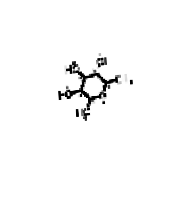 CC1OC(O)[C@@H](O)C(O)[C@@H]1O